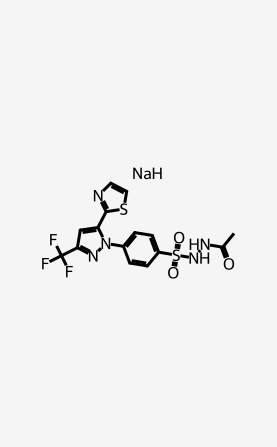 CC(=O)NNS(=O)(=O)c1ccc(-n2nc(C(F)(F)F)cc2-c2nccs2)cc1.[NaH]